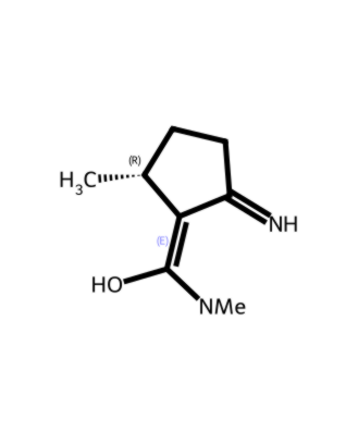 CN/C(O)=C1\C(=N)CC[C@H]1C